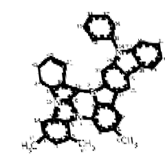 Cc1cc2c3c(c1)-n1c4c(C)cc(C)cc4n4c5c(c(c14)B3c1cc3c(cc1-2)c1ccccc1n3-c1ccccc1)C=CCC5